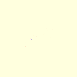 O=C(OCc1ccccc1)N1CC2CC1CO2